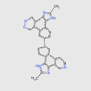 Cc1nc2c3cnccc3c3cc(-c4ccc5c(c4)c4cnncc4c4nc(C)[nH]c54)ccc3c2[nH]1